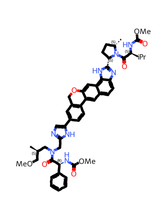 COC[C@@H](C)CN(Cc1ncc(-c2ccc3c(c2)COc2cc4c(ccc5nc([C@@H]6CC[C@H](C)N6C(=O)[C@@H](NC(=O)OC)C(C)C)[nH]c54)cc2-3)[nH]1)C(=O)[C@H](NC(=O)OC)c1ccccc1